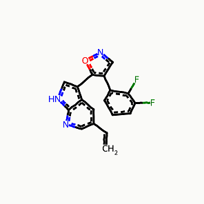 C=Cc1cnc2[nH]cc(-c3oncc3-c3cccc(F)c3F)c2c1